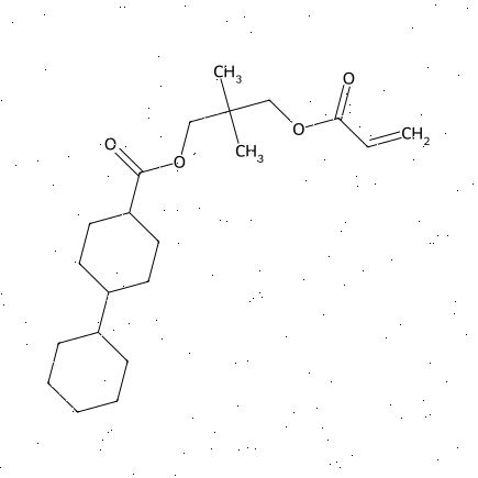 C=CC(=O)OCC(C)(C)COC(=O)C1CCC(C2CCCCC2)CC1